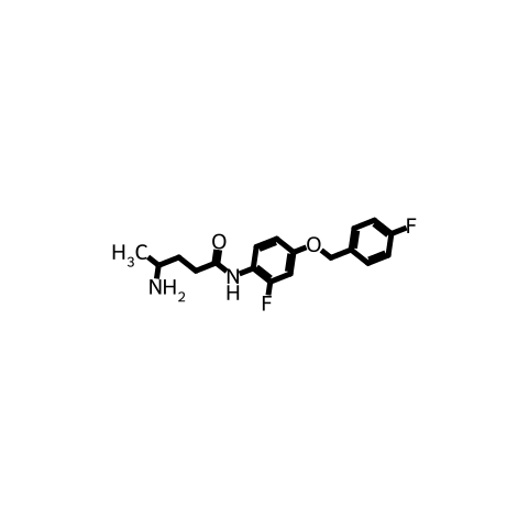 CC(N)CCC(=O)Nc1ccc(OCc2ccc(F)cc2)cc1F